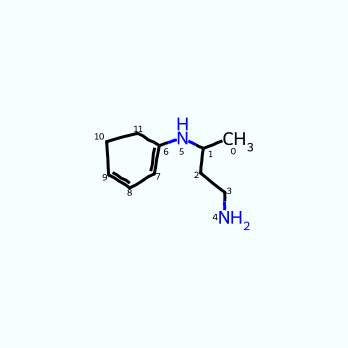 CC(CCN)NC1=CC=CCC1